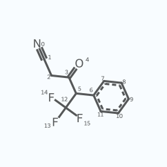 N#CCC(=O)C(c1ccccc1)C(F)(F)F